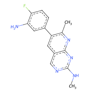 CNc1ncc2cc(-c3ccc(F)c(N)c3)c(C)nc2n1